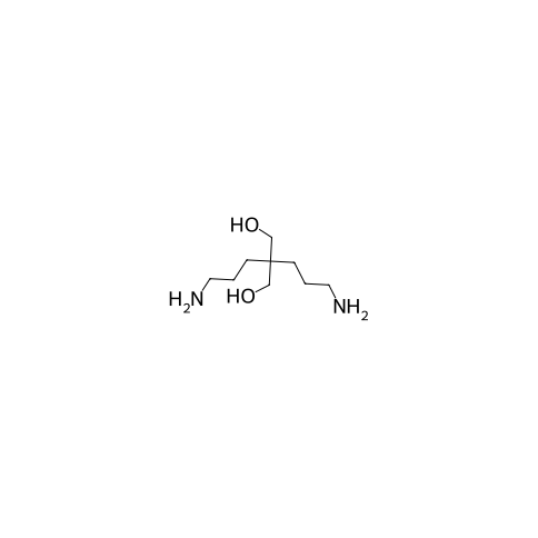 NCCCC(CO)(CO)CCCN